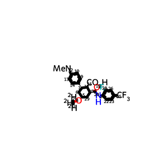 [2H]C([2H])([2H])O[C@@H]1C[C@H](c2ccc(NC)cc2)[C@@H](C(=O)O)[C@H](C(=O)Nc2ccc(C(F)(F)F)cc2F)C1